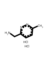 Cc1ccc(CN)nn1.Cl.Cl